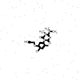 C#CCOc1cc(-n2c(=O)nc(N(C)C)n(C)c2=O)c(F)cc1Cl